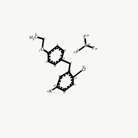 CCOc1ccc(Cc2c[c]([K])ccc2Cl)cc1.FB(F)F